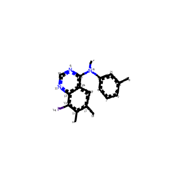 Cc1cccc(N(C)c2ncnc3c(I)c(C)c(C)cc23)c1